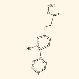 CCCCCCCCOC(=O)CCc1ccc(-c2ncncn2)c(O)c1